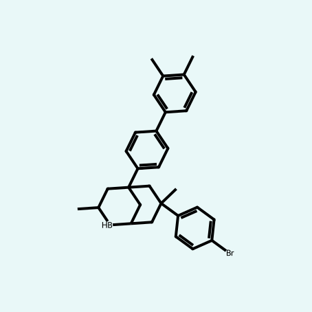 Cc1ccc(-c2ccc(C34CC(C)BC(CC(C)(c5ccc(Br)cc5)C3)C4)cc2)cc1C